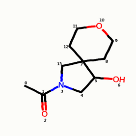 CC(=O)N1CC(O)C2(CCOCC2)C1